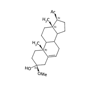 CO[C@@]1(O)CC[C@@]2(C)C(=CCC3C2CC[C@@]2(C)C3CC[C@@H]2C(C)=O)C1